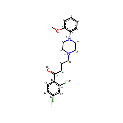 COc1ccccc1N1CCN(CCCC(=O)c2ccc(F)cc2F)CC1